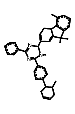 Cc1cccc2c1C1CC=C(C3N=C(c4ccccc4)N=C(c4ccc(C5CC=CCC5C)cc4)N3C)C=C1C2(C)C